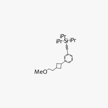 COCCC1CC(c2cccc(C#C[Si](C(C)C)(C(C)C)C(C)C)c2)C1